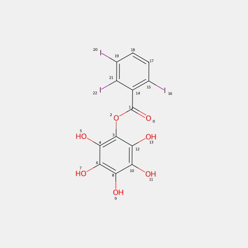 O=C(Oc1c(O)c(O)c(O)c(O)c1O)c1c(I)ccc(I)c1I